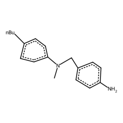 CCCCc1ccc(N(C)Cc2ccc(N)cc2)cc1